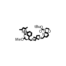 COC(=C=O)C[C@H](CN1CC2(CCN(Cc3ccc4c(n3)N(C(=O)OC(C)(C)C)CCO4)C2)C1)c1cccc(-n2nc(C)cc2C)c1